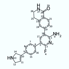 Nc1nc(F)c(-c2ccc(C3=CCNC3)cc2)cc1-c1ccc2c(c1)CCNC2=O